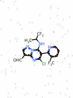 CC(Nc1c(-c2ncccc2C(F)(F)F)c(Cl)nc2c(C=O)cnn12)C(F)(F)F